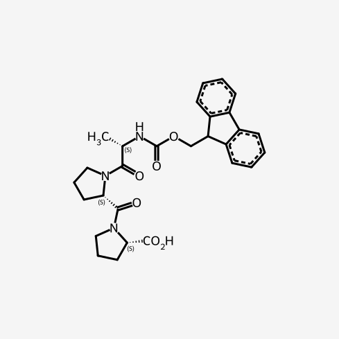 C[C@H](NC(=O)OCC1c2ccccc2-c2ccccc21)C(=O)N1CCC[C@H]1C(=O)N1CCC[C@H]1C(=O)O